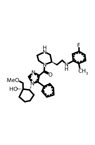 COC[C@]1(O)CCCC[C@H]1n1cnc(C(=O)N2CCNC[C@H]2CCNc2cc(F)ccc2C)c1-c1ccccc1